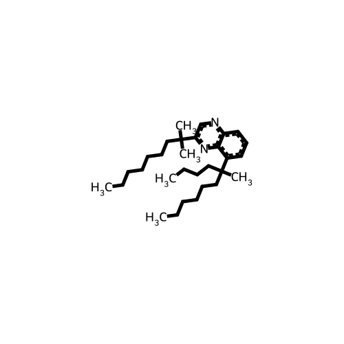 CCCCCCCC(C)(C)c1cnc2cccc(C(C)(CCCC)CCCCCC)c2n1